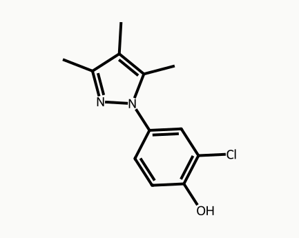 Cc1nn(-c2ccc(O)c(Cl)c2)c(C)c1C